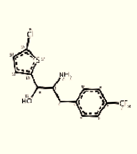 NC(Cc1ccc(C(F)(F)F)cc1)C(O)c1ccc(Cl)s1